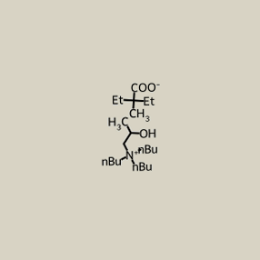 CCC(C)(CC)C(=O)[O-].CCCC[N+](CCCC)(CCCC)CC(C)O